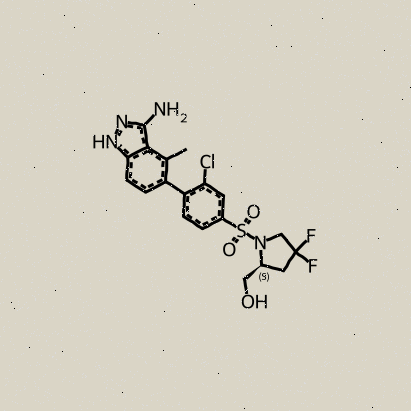 Cc1c(-c2ccc(S(=O)(=O)N3CC(F)(F)C[C@H]3CO)cc2Cl)ccc2[nH]nc(N)c12